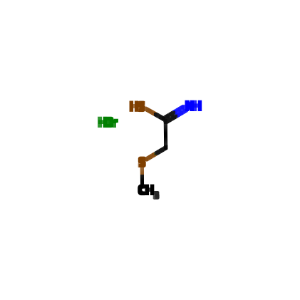 Br.CSCC(=N)S